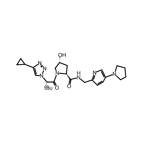 CC(C)(C)[C@@H](C(=O)N1C[C@H](O)C[C@H]1C(=O)NCc1ccc(N2CCCC2)cn1)n1cc(C2CC2)nn1